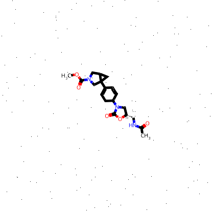 COC(=O)N1CC2CC2(C2=CCC(N3C[C@H](CNC(C)=O)OC3=O)C=C2)C1